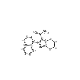 NC(=O)c1c2c(nn1-c1cccc3cccnc13)CC[C]C2